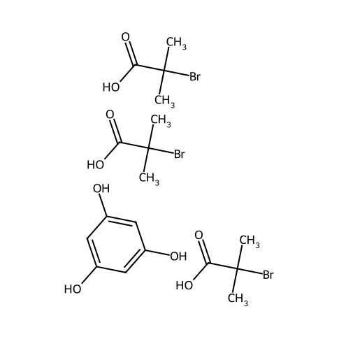 CC(C)(Br)C(=O)O.CC(C)(Br)C(=O)O.CC(C)(Br)C(=O)O.Oc1cc(O)cc(O)c1